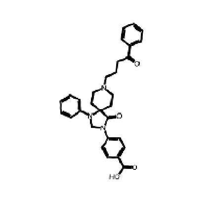 O=C(O)c1ccc(N2CN(c3ccccc3)C3(CCN(CCCC(=O)c4ccccc4)CC3)C2=O)cc1